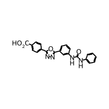 O=C(Nc1ccccc1)Nc1cccc(-c2nnc(-c3ccc(C(=O)O)cc3)o2)c1